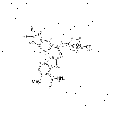 COc1ccc2c(c1C(N)=O)SCN2c1cc2c(cc1C(=O)NC13CCC(C(F)(F)F)(CC1)OC3)OC(F)(F)O2